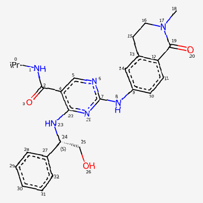 CC(C)NC(=O)c1cnc(Nc2ccc3c(c2)CCN(C)C3=O)nc1N[C@H](CO)c1ccccc1